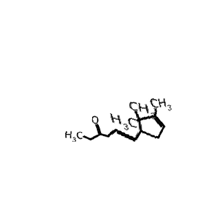 CCC(=O)CC=CC1CC=C(C)C1(C)C